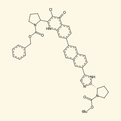 CC(C)(C)OC(=O)N1CCC[C@H]1c1ncc(-c2ccc3cc(-c4ccc5c(=O)c(Cl)c(C6CCCN6C(=O)OCc6ccccc6)[nH]c5c4)ccc3c2)[nH]1